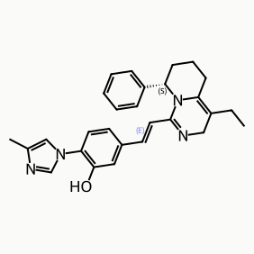 CCC1=C2CCC[C@@H](c3ccccc3)N2C(/C=C/c2ccc(-n3cnc(C)c3)c(O)c2)=NC1